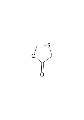 O=C1CSCO1